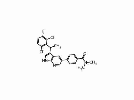 CC(c1c(Cl)ccc(F)c1Cl)c1c[nH]c2ncc(-c3ccc(C(=O)N(C)C)cc3)cc12